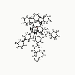 CC1CC(C)(C)c2cc(-c3ccc(-c4ccc(-n5c6ccccc6c6ccc7c8ccccc8n(-c8nc(-c9ccc(-c%10ccccc%10)cc9)nc(-c9ccc(-c%10ccccc%10)cc9)n8)c7c65)cc4)cc3)ccc2C1(C)C